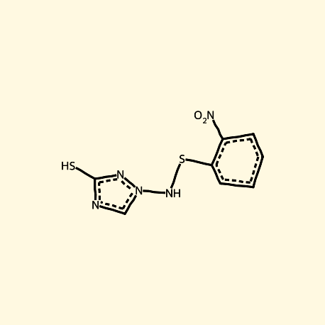 O=[N+]([O-])c1ccccc1SNn1cnc(S)n1